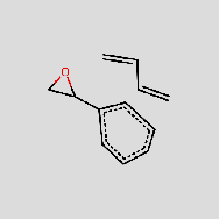 C=CC=C.c1ccc(C2CO2)cc1